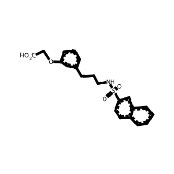 O=C(O)COc1cccc(CCCNS(=O)(=O)c2ccc3ccccc3c2)c1